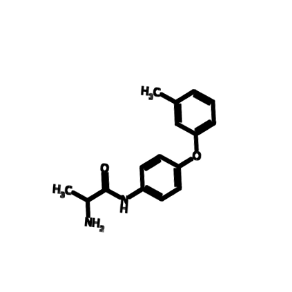 Cc1cccc(Oc2ccc(NC(=O)C(C)N)cc2)c1